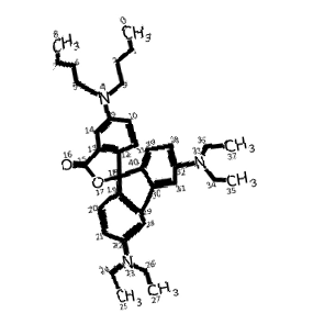 CCCCN(CCCC)c1ccc2c(c1)C(=O)OC21c2ccc(N(CC)CC)cc2-c2cc(N(CC)CC)ccc21